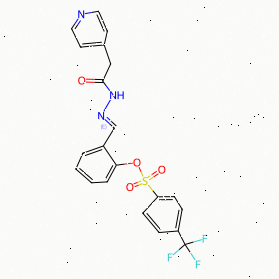 O=C(Cc1ccncc1)N/N=C/c1ccccc1OS(=O)(=O)c1ccc(C(F)(F)F)cc1